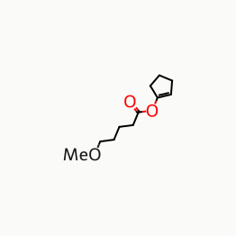 COCCCCC(=O)OC1=CCCC1